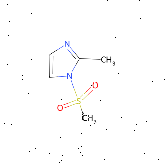 Cc1nccn1S(C)(=O)=O